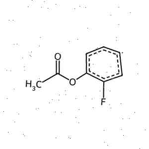 CC(=O)Oc1cc[c]cc1F